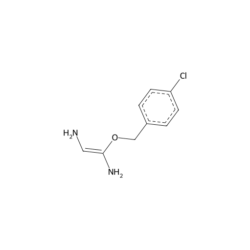 N/C=C(/N)OCc1ccc(Cl)cc1